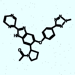 CC(=O)N1CCCC1c1cc2[nH]c(-c3cnccn3)nc2cc1Oc1ccc(-c2nnn(C)n2)cc1